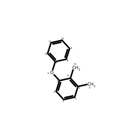 Cc1cccc(Oc2[c]cccc2)c1C